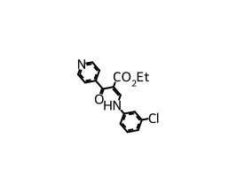 CCOC(=O)C(=CNc1cccc(Cl)c1)C(=O)c1ccncc1